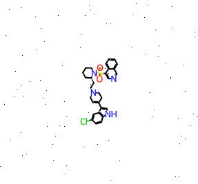 O=S(=O)(c1cncc2ccccc12)N1CCCC[C@@H]1CCN1CC=C(c2c[nH]c3ccc(Cl)cc23)CC1